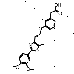 COc1ccc(-c2nc(CCOc3cccc(CC(=O)O)c3)c(C)o2)cc1OC